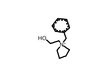 OCC[N+]1(Cc2ccccc2)CCCC1